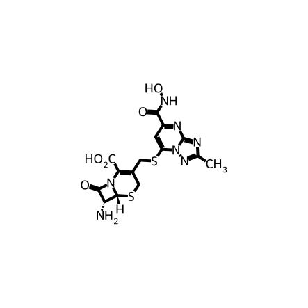 Cc1nc2nc(C(=O)NO)cc(SCC3=C(C(=O)O)N4C(=O)[C@@H](N)[C@H]4SC3)n2n1